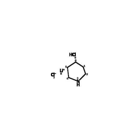 C1CCNCC1.Cl.[Cl-].[Li+]